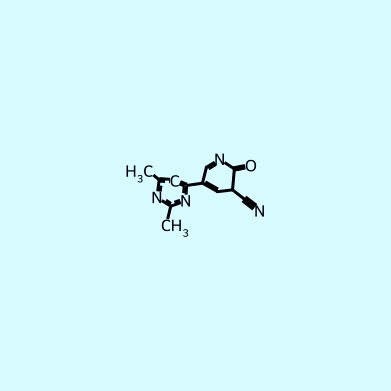 Cc1cc(C2=CC(C#N)C(=O)N=C2)nc(C)n1